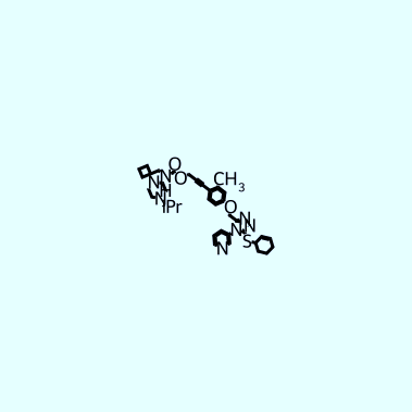 Cc1cc(OCc2nnc(SC3C=CCCC3)n2-c2cccnc2)ccc1C#CCOC(=O)NCC1(N2CCN(C(C)C)CC2)CCC1